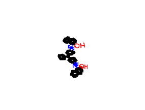 Oc1ccc2ccccc2c1N=Nc1ccc(C(c2ccccc2)c2ccc(N=Nc3c(O)ccc4ccccc34)cc2)cc1